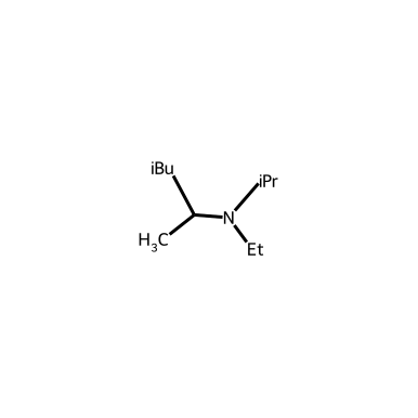 CCC(C)C(C)N(CC)C(C)C